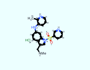 CNCc1cn(S(=O)(=O)c2cccnc2)c2cc(Nc3cccnc3C)ccc12.Cl